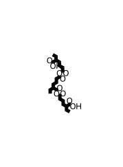 CCC(CCCC(=O)OC(=O)CCCC(CC)C(=O)OC(=O)CCCC(CC)C(=O)O)C(=O)O